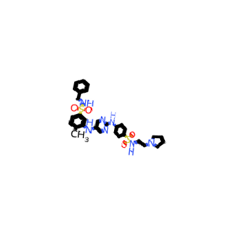 Cc1ccc(S(=O)(=O)NCc2ccccc2)cc1Nc1cnc(Nc2ccc(S(=O)(=O)NCCN3CCCC3)cc2)nc1